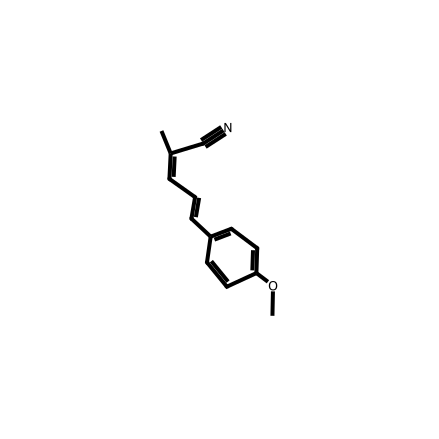 COc1ccc(/C=C/C=C(/C)C#N)cc1